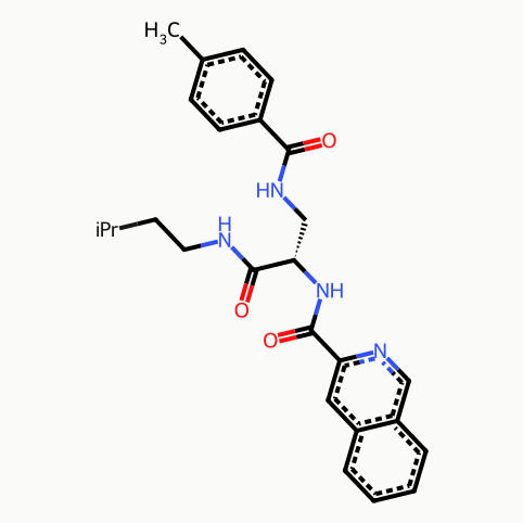 Cc1ccc(C(=O)NC[C@H](NC(=O)c2cc3ccccc3cn2)C(=O)NCCC(C)C)cc1